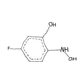 ONc1ccc(F)cc1O